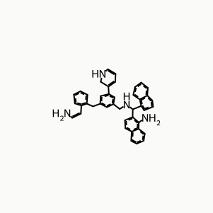 N/C=C\c1ccccc1Cc1cc(CNC(c2ccc3ccccc3c2N)c2cccc3ccccc23)cc(C2=CC=CNC2)c1